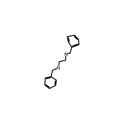 c1ccc(C[N]CC[N]Cc2ccccc2)cc1